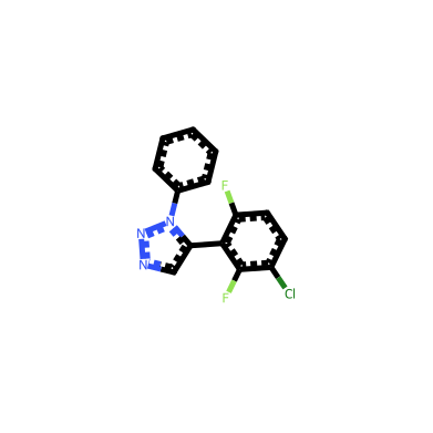 Fc1ccc(Cl)c(F)c1-c1cnnn1-c1ccccc1